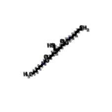 CCCCCCCC/C=C/COC(=O)CCCCCN(CCO)CCCCCC(=O)OC/C=C/CCCCCCCC